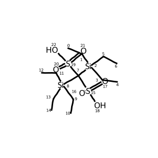 CC[Si](CC)(CC)C([Si](CC)(CC)CC)(S(=O)(=O)O)S(=O)(=O)O